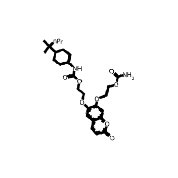 CCCC(C)(C)C1CCC(NC(=O)OCCOc2cc3ccc(=O)oc3cc2OCCOC(N)=O)CC1